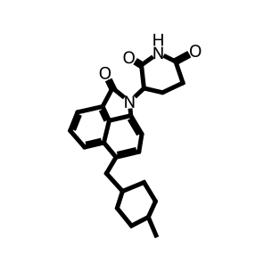 CC1CCC(Cc2ccc3c4c(cccc24)C(=O)N3C2CCC(=O)NC2=O)CC1